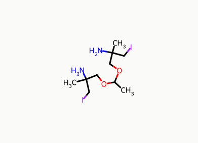 CC(OCC(C)(N)CI)OCC(C)(N)CI